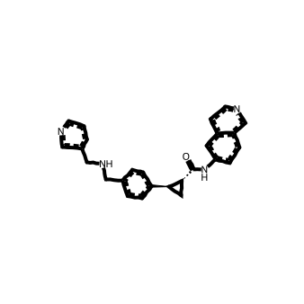 O=C(Nc1ccc2cnccc2c1)[C@@H]1C[C@H]1c1ccc(CNCc2cccnc2)cc1